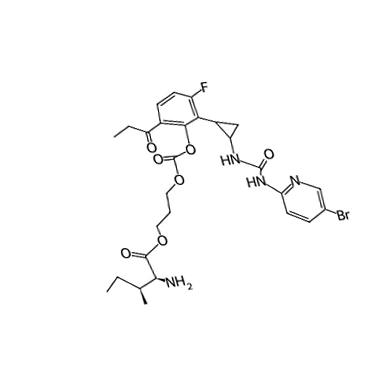 CCC(=O)c1ccc(F)c(C2CC2NC(=O)Nc2ccc(Br)cn2)c1OC(=O)OCCCOC(=O)[C@@H](N)[C@@H](C)CC